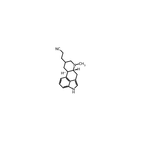 CN1CC(CCC#N)C[C@@H]2c3cccc4[nH]cc(c34)C[C@H]21